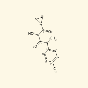 CN(C(=O)C(C#N)C(=O)C1CC1)c1ccc(Cl)cc1